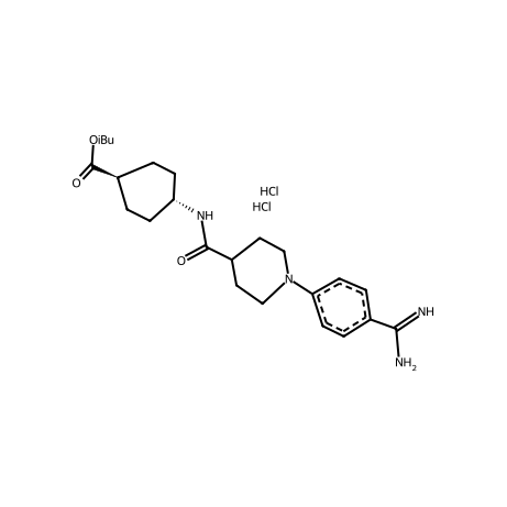 CC(C)COC(=O)[C@H]1CC[C@H](NC(=O)C2CCN(c3ccc(C(=N)N)cc3)CC2)CC1.Cl.Cl